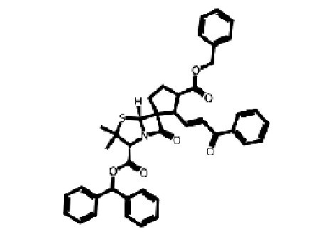 CC1(C)S[C@H]2N(C(=O)C23CCC(C(=O)OCc2ccccc2)C3C=CC(=O)c2ccccc2)[C@H]1C(=O)OC(c1ccccc1)c1ccccc1